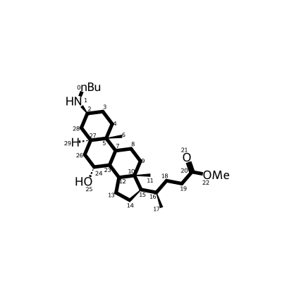 CCCCN[C@H]1CC[C@]2(C)C3CC[C@@]4(C)C(CC[C@@H]4[C@H](C)CCC(=O)OC)C3[C@H](O)C[C@H]2C1